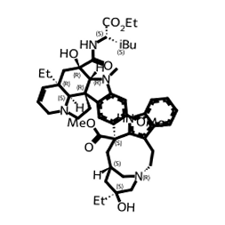 CCOC(=O)[C@@H](NC(=O)[C@@]1(O)C[C@]2(CC)C=CCN3CC[C@@]4(c5cc([C@@]6(C(=O)OC)C[C@@H]7C[N@](CCc8c6[nH]c6ccccc86)C[C@](O)(CC)C7)c(OC)cc5N(C)[C@H]41)[C@@H]32)[C@@H](C)CC